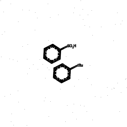 CC(C)(C)c1ccccc1.O=S(=O)(O)c1ccccc1